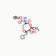 C[C@@H]1OC(=O)[C@@H](NC(=O)OC(C)(C)C)CCO[C@H](CC2CCCC2)[C@H]1O